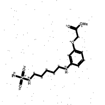 COC(=O)COc1cccc(NCCCCCNS(=O)(=O)C(C)C)c1